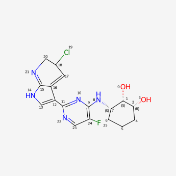 O[C@@H]1[C@H](O)CCC[C@@H]1Nc1nc(-c2c[nH]c3c2=CC(Cl)CN=3)ncc1F